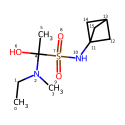 CCN(C)C(C)(O)S(=O)(=O)NC12CC(C1)C2